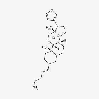 C[C@]12CCC(OCCCN)CC1CC[C@@H]1[C@H]2CC[C@]2(C)C(c3ccoc3)CC[C@@]12O